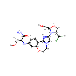 CO[C@H](C)[C@H](Nc1ccc2c(c1)OCCn1cc(N3C(=C=O)OC[C@H]3C(F)F)nc1-2)C(N)=O